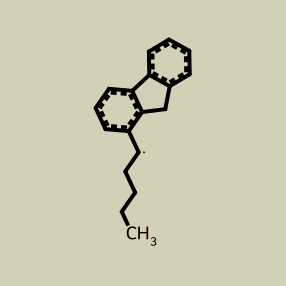 CCCC[CH]c1cccc2c1Cc1ccccc1-2